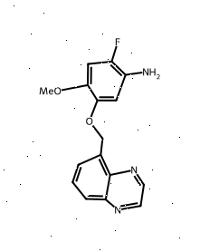 COc1cc(F)c(N)cc1OCc1cccc2nccnc12